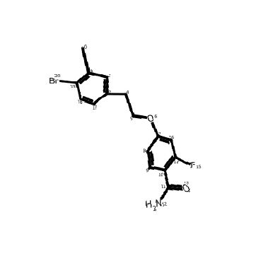 Cc1cc(CCOc2ccc(C(N)=O)c(F)c2)ccc1Br